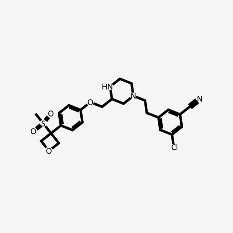 CS(=O)(=O)C1(c2ccc(OCC3CN(CCc4cc(Cl)cc(C#N)c4)CCN3)cc2)COC1